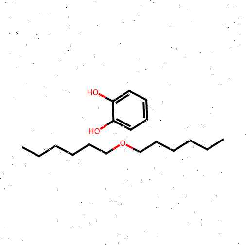 CCCCCCOCCCCCC.Oc1ccccc1O